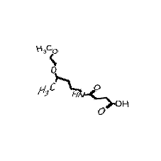 COCCOC(C)CCCNC(=O)CCC(=O)O